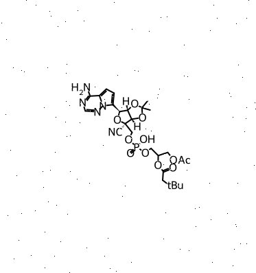 CC(=O)OCC(COP(=O)(O)OC[C@@]1(C#N)O[C@@H](c2ccc3c(N)ncnn23)[C@@H]2OC(C)(C)O[C@@H]21)OC(=O)CC(C)(C)C